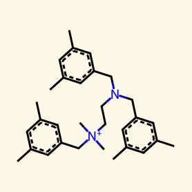 Cc1cc(C)cc(CN(CC[N+](C)(C)Cc2cc(C)cc(C)c2)Cc2cc(C)cc(C)c2)c1